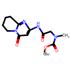 CN(CC(=O)Nc1cc(=O)n2c(n1)CCCC2)C(=O)OC(C)(C)C